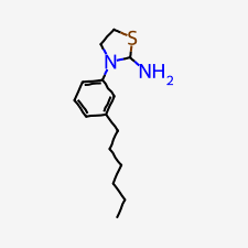 CCCCCCc1cccc(N2CCSC2N)c1